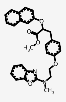 COC(=O)C(Cc1ccc(OCCN(C)c2nc3ccccc3o2)cc1)Oc1ccc2ccccc2c1